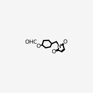 O=COC1CCC(CN2C(=O)C=CC2=O)CC1